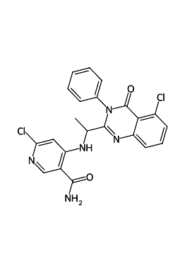 CC(Nc1cc(Cl)ncc1C(N)=O)c1nc2cccc(Cl)c2c(=O)n1-c1ccccc1